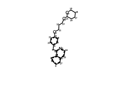 c1ccc2c(Cc3ccc(OCCCOC4CCCCO4)cc3)nccc2c1